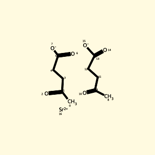 CC(=O)CCC(=O)[O-].CC(=O)CCC(=O)[O-].[Sr+2]